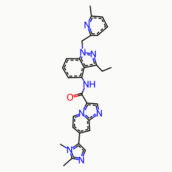 CCc1nn(Cc2cccc(C)n2)c2cccc(NC(=O)c3cnc4cc(-c5cnc(C)n5C)ccn34)c12